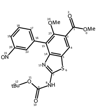 COC(=O)c1cc2sc(NC(=O)OC(C)(C)C)nc2c(-c2cccc(N=O)c2)c1OC